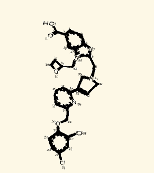 O=C(O)c1ccc2nc(CN3CC=C(c4cccc(COc5ccc(Cl)cc5Cl)n4)C3)n(C[C@@H]3CCO3)c2c1